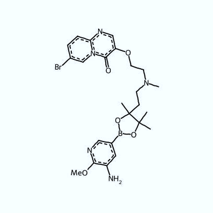 COc1ncc(B2OC(C)(C)C(C)(CCN(C)CCOc3cnc4ccc(Br)cn4c3=O)O2)cc1N